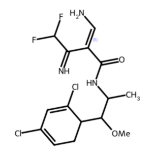 COC(C(C)NC(=O)/C(=C/N)C(=N)C(F)F)C1CC=C(Cl)C=C1Cl